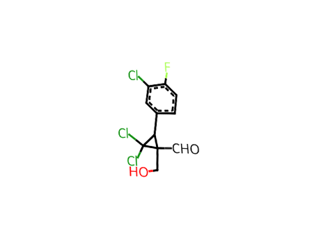 O=CC1(CO)C(c2ccc(F)c(Cl)c2)C1(Cl)Cl